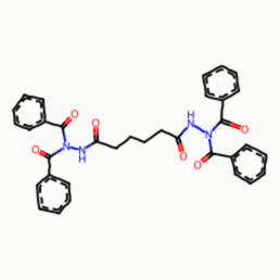 O=C(CCCCC(=O)NN(C(=O)c1ccccc1)C(=O)c1ccccc1)NN(C(=O)c1ccccc1)C(=O)c1ccccc1